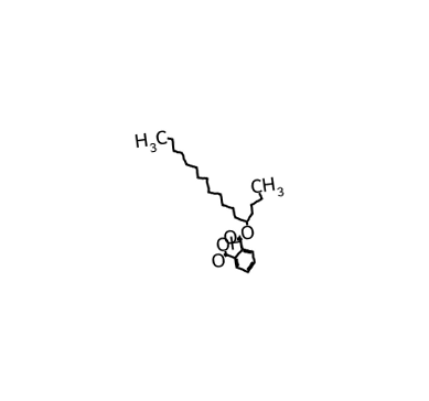 CCCCCCCCCCCCCC(CCCC)OC(=O)c1ccccc1C(=O)O